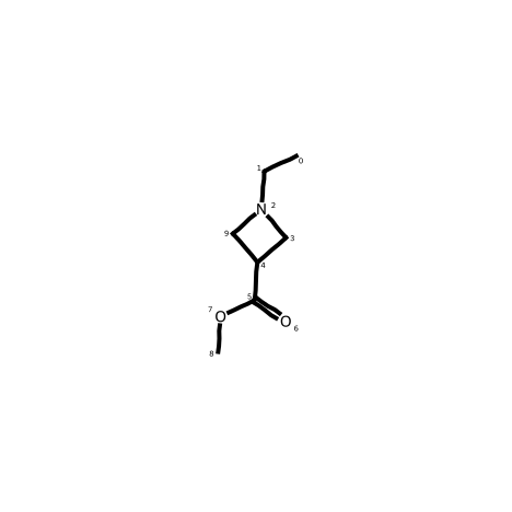 CCN1CC(C(=O)OC)C1